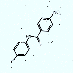 O=[N+]([O-])c1ccc(C(=S)Nc2ccc(F)cc2)cc1